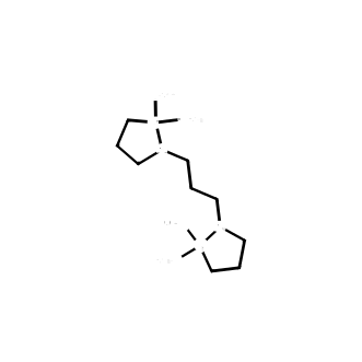 CO[Si]1(OC)CCCN1CCCN1CCC[Si]1(OC)OC